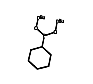 CCCCOP(OCCCC)C1CCCCC1